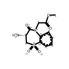 COC(=O)CN1C(=O)[C@@H](N)CS(=O)(=O)c2ccccc21